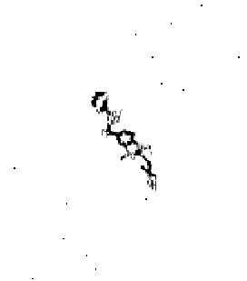 COc1cc(C(=O)Nc2nccs2)ccc1NC(=O)CC(C)(C)O